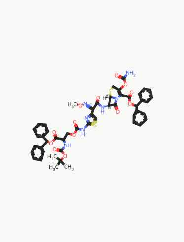 CO/N=C(/C(=O)N[C@@H]1C(=O)N2C(C(=O)OC(c3ccccc3)c3ccccc3)=C(OC(N)=O)CS[C@H]12)c1csc(NC(=O)OCC(NC(=O)OC(C)(C)C)C(=O)OC(c2ccccc2)c2ccccc2)n1